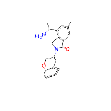 Cc1cc2c(c(C(C)N)c1)CN(C1COc3ccccc3C1)C2=O